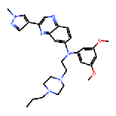 CCCN1CCN(CCN(c2cc(OC)cc(OC)c2)c2ccc3ncc(-c4cnn(C)c4)nc3c2)CC1